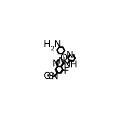 CS(C)(=O)=Nc1cc(F)c2c(Nc3cccnc3O[C@H]3CC[C@H](N)CC3)ncnc2c1